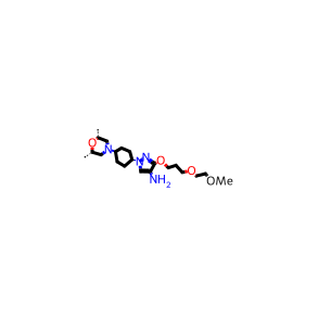 COCCOCCCOc1nn([C@H]2CC[C@H](N3C[C@@H](C)O[C@@H](C)C3)CC2)cc1N